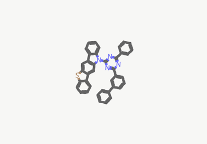 c1ccc(-c2cccc(-c3nc(-c4ccccc4)nc(-n4c5ccccc5c5cc6sc7ccccc7c6cc54)n3)c2)cc1